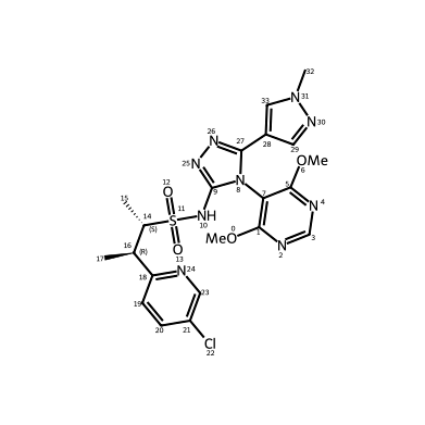 COc1ncnc(OC)c1-n1c(NS(=O)(=O)[C@@H](C)[C@H](C)c2ccc(Cl)cn2)nnc1-c1cnn(C)c1